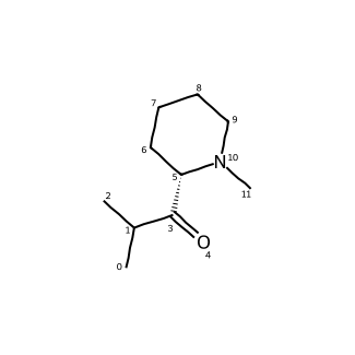 CC(C)C(=O)[C@@H]1CCCCN1C